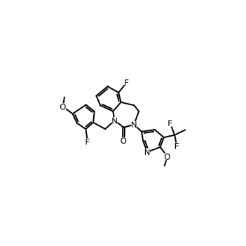 COc1ccc(CN2C(=O)N(c3cnc(OC)c(C(C)(F)F)c3)CCc3c(F)cccc32)c(F)c1